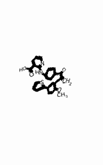 C=C(C(=O)c1ccc(Nc2ncccc2C(=O)O)cc1)c1cc(-c2cccs2)ccc1OC